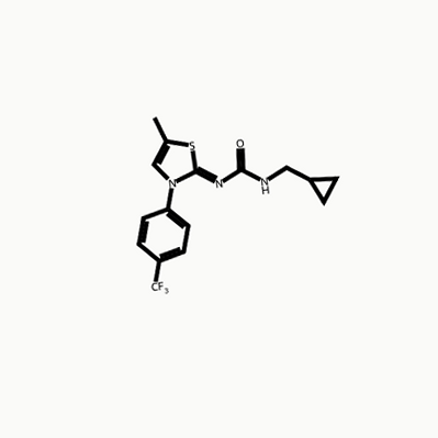 Cc1cn(-c2ccc(C(F)(F)F)cc2)/c(=N/C(=O)NCC2CC2)s1